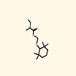 CCC(I)C(=O)OCOC1C(C)(C)CCCC1(C)C